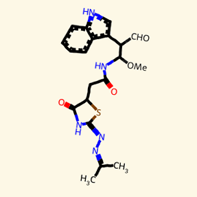 COC(NC(=O)CC1SC(=NN=C(C)C)NC1=O)C(C=O)c1c[nH]c2ccccc12